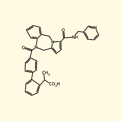 CC(C(=O)O)c1ccccc1-c1ccc(C(=O)N2Cc3ccc(C(=O)NCc4cccnc4)n3Cc3ccccc32)cc1